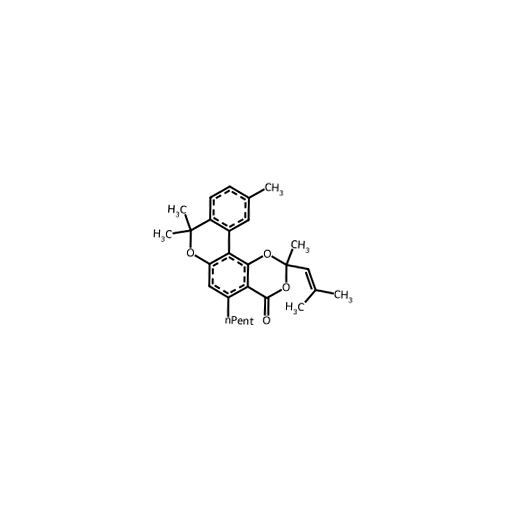 CCCCCc1cc2c(c3c1C(=O)OC(C)(C=C(C)C)O3)-c1cc(C)ccc1C(C)(C)O2